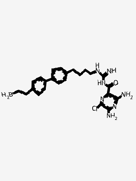 BCCc1ccc(-c2ccc(CCCCNC(=N)NC(=O)c3nc(Cl)c(N)nc3N)cc2)cc1